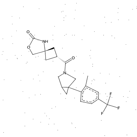 Cc1cc(C(F)(F)F)ccc1C12CC1CN(C(=O)[C@H]1C[C@]3(COC(=O)N3)C1)C2